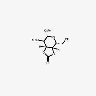 CO[C@@H]1O[C@H](CO)[C@@H]2OC(=O)O[C@@H]2C1NC(C)=O